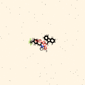 CN(C(=O)OCC1c2ccccc2-c2ccccc21)[C@@H](Cc1cccc(C(F)(F)F)c1)C(=O)O